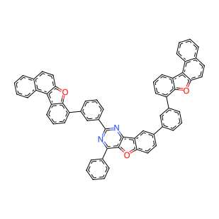 c1ccc(-c2nc(-c3cccc(-c4cccc5c4oc4ccc6ccccc6c45)c3)nc3c2oc2ccc(-c4cccc(-c5cccc6c5oc5ccc7ccccc7c56)c4)cc23)cc1